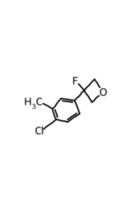 Cc1cc(C2(F)COC2)ccc1Cl